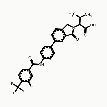 CC(C)C(C(=O)O)N1Cc2ccc(-c3ccc(NC(=O)c4ccc(C(F)(F)F)c(F)c4)cc3)cc2C1=O